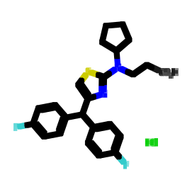 Cl.O=C(O)CCN(c1nc(C(c2ccc(F)cc2)c2ccc(F)cc2)cs1)C1CCCC1